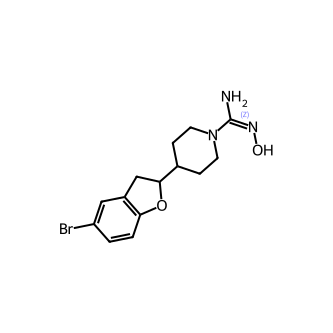 N/C(=N/O)N1CCC(C2Cc3cc(Br)ccc3O2)CC1